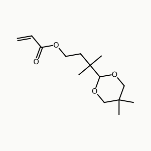 C=CC(=O)OCCC(C)(C)C1OCC(C)(C)CO1